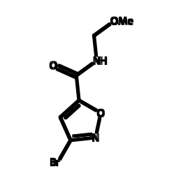 COCNC(=O)c1cc(Br)no1